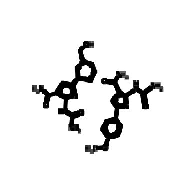 COc1ccc(-c2cc(C(N)=O)c(NC(N)=O)s2)cc1.NC(=O)Nc1sc(-c2cccc(CO)c2)cc1C(N)=O